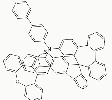 c1ccc(-c2ccc(N(c3ccc4c(c3)-c3ccccc3Oc3ccccc3-4)c3ccc4c(c3)C3(c5ccccc5-c5ccccc5-4)c4ccccc4-c4cc5c(cc43)sc3ccccc35)cc2)cc1